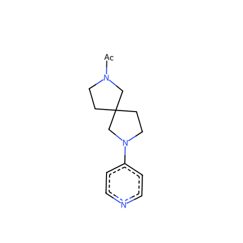 CC(=O)N1CCC2(CCN(c3ccncc3)C2)C1